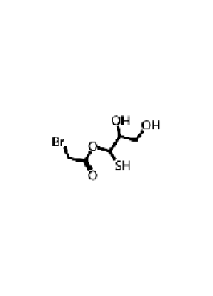 O=C(CBr)OC(S)C(O)CO